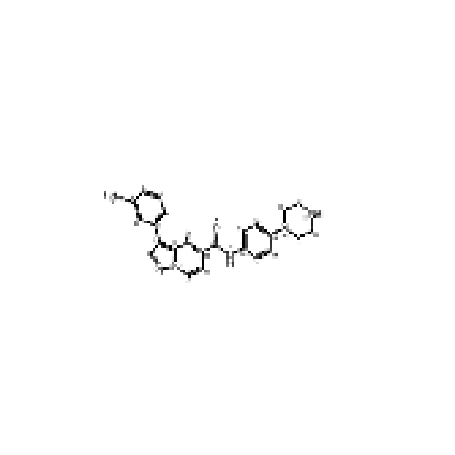 Nc1cccc(-c2cnn3ccc(C(=O)Nc4ccc(N5CCNCC5)cc4)nc23)c1